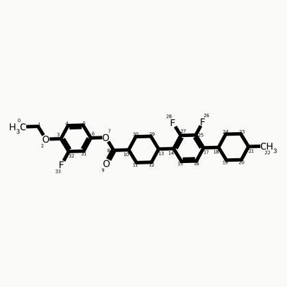 CCOc1ccc(OC(=O)C2CCC(c3ccc(C4CCC(C)CC4)c(F)c3F)CC2)cc1F